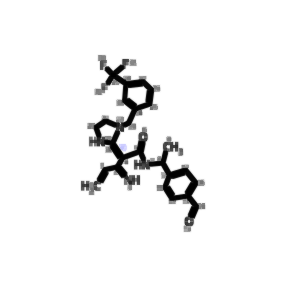 C=CC(=N)/C(C(=O)NC(C)c1ccc(C=O)cc1)=C1\NCCN1Cc1cccc(C(F)(F)F)c1